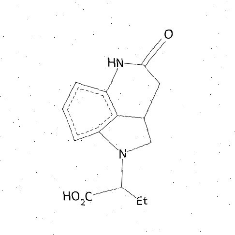 CCC(C(=O)O)N1CC2CC(=O)Nc3cccc1c32